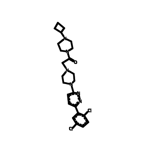 O=C(CN1CCN(c2ccc(-c3cc(Cl)ccc3Cl)nn2)CC1)N1CCN(C2CCC2)CC1